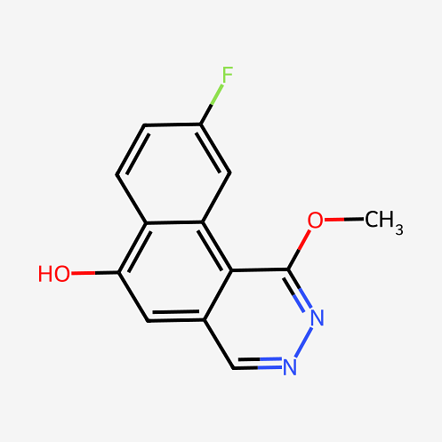 COc1nncc2cc(O)c3ccc(F)cc3c12